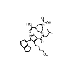 COCCCCc1c(C(=O)N(CC(C)C)[C@H]2C[C@@H](C(=O)O)CN(C(=O)O)C2)nnn1-c1cccc2c1CCC2